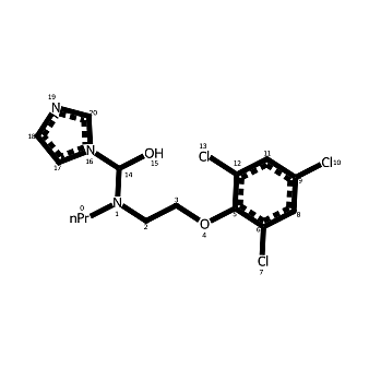 CCCN(CCOc1c(Cl)cc(Cl)cc1Cl)C(O)n1ccnc1